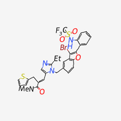 CCc1ncc(/C=C(\Cc2cccs2)C(=O)NC)n1Cc1ccc2oc(-c3ccccc3NS(=O)(=O)C(F)(F)F)c(Br)c2c1